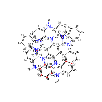 CN1c2ccccc2N(c2c(-c3nc4ccccc4n3C)c(-c3ccccc3)c(N3c4ccccc4N(C)c4ccccc43)c(N3c4ccccc4N(C)c4ccccc43)c2-c2nc3ccccc3n2C)c2ccccc21